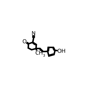 CC1(C=Cc2ccc(O)cc2)C=C(C#N)C(=O)CC1